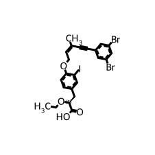 CCO[C@@H](Cc1ccc(OCC=C(C)C#Cc2cc(Br)cc(Br)c2)c(I)c1)C(=O)O